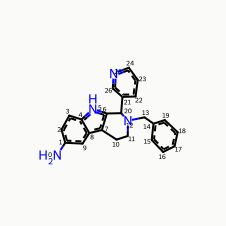 Nc1ccc2[nH]c3c(c2c1)CCN(Cc1ccccc1)C3c1cccnc1